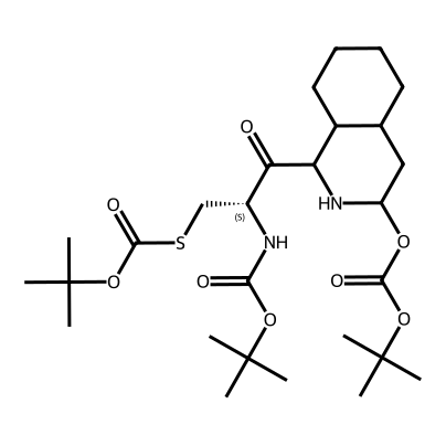 CC(C)(C)OC(=O)N[C@H](CSC(=O)OC(C)(C)C)C(=O)C1NC(OC(=O)OC(C)(C)C)CC2CCCCC21